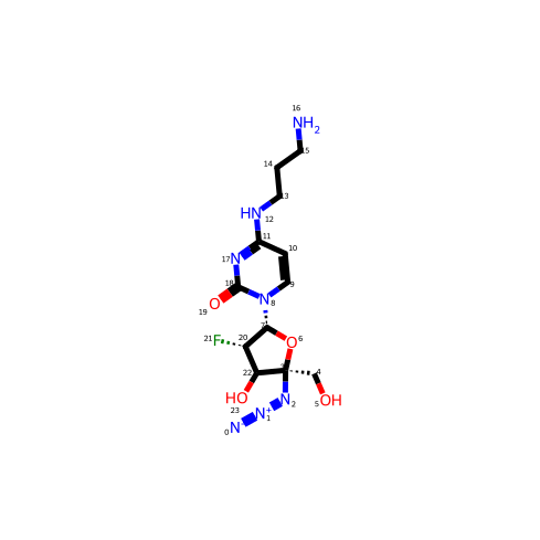 [N-]=[N+]=N[C@]1(CO)O[C@@H](n2ccc(NCCCN)nc2=O)[C@@H](F)C1O